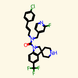 O=C(N(CC=Cc1ccc(Cl)cc1)Cc1ccnc(F)c1)N1CC2(CCNCC2)c2cc(C(F)(F)F)ccc21